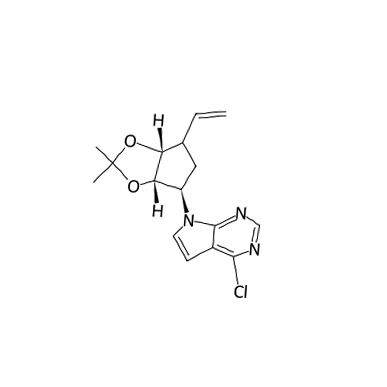 C=CC1C[C@@H](n2ccc3c(Cl)ncnc32)[C@@H]2OC(C)(C)O[C@H]12